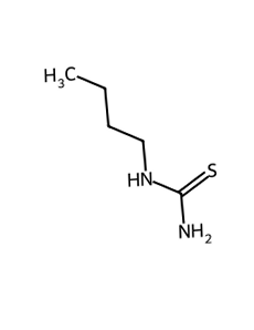 CCCCNC(N)=S